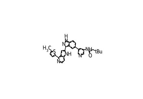 Cc1ccc(-c2nccc3[nH]c(-c4n[nH]c5ccc(-c6cncc(NC(=O)CC(C)(C)C)c6)cc45)cc23)s1